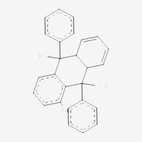 OC1(c2ccccc2)c2cccc(Br)c2C(O)(c2ccccc2)C2C=CC=CC21